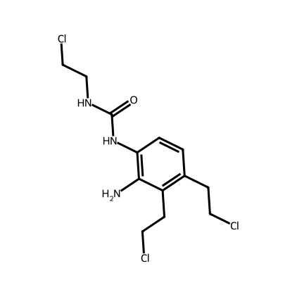 Nc1c(NC(=O)NCCCl)ccc(CCCl)c1CCCl